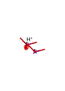 CCCCCCCCCCCCCCCC[N+](CCCC)(CCCC)CCCCCCCCCCCCCCCC.CCCCCCCCCCCCCCCC[N+](CCCC)(CCCC)CCCCCCCCCCCCCCCC.[H+].[O-]B([O-])[O-]